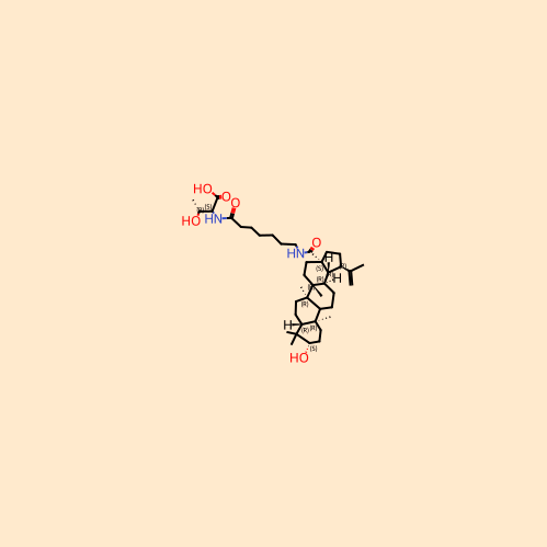 C=C(C)[C@@H]1CC[C@]2(C(=O)NCCCCCCC(=O)N[C@H](C(=O)O)[C@@H](C)O)CC[C@]3(C)[C@H](CCC4[C@@]5(C)CC[C@H](O)C(C)(C)[C@@H]5CC[C@]43C)[C@@H]12